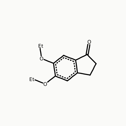 CCOc1cc2c(cc1OCC)C(=O)CC2